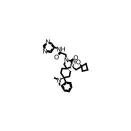 CN(C)[C@]1(c2ccccc2)CC[C@]2(CC1)CN(CC(=O)Nc1cncnc1)C(=O)N2CC1(O)CCC1